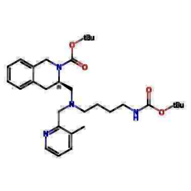 Cc1cccnc1CN(CCCCNC(=O)OC(C)(C)C)C[C@H]1Cc2ccccc2CN1C(=O)OC(C)(C)C